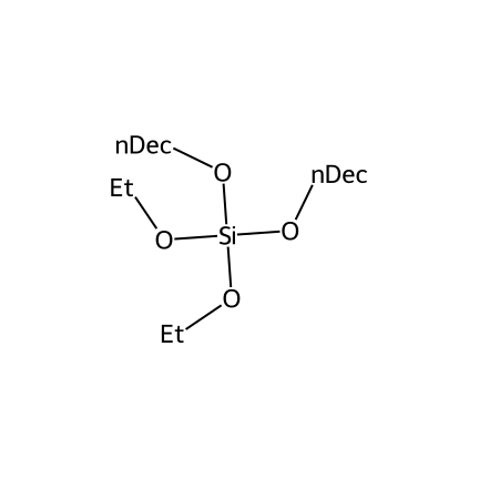 CCCCCCCCCCO[Si](OCC)(OCC)OCCCCCCCCCC